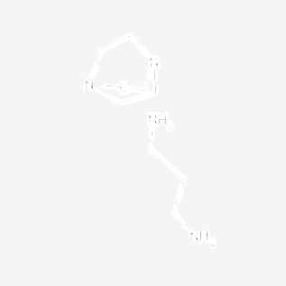 C1CN2CCN1CC2.NCCCN